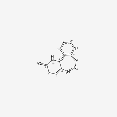 O=C1CC=C2N=NC=c3ncccc3=C2N1